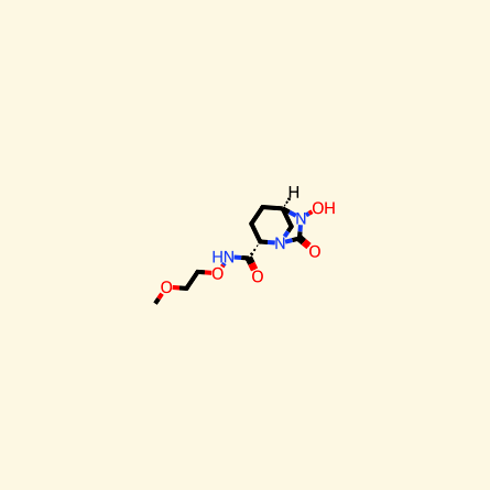 COCCONC(=O)[C@@H]1CC[C@@H]2CN1C(=O)N2O